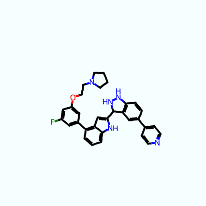 Fc1cc(OCCN2CCCC2)cc(-c2cccc3[nH]c(C4NNc5ccc(-c6ccncc6)cc54)cc23)c1